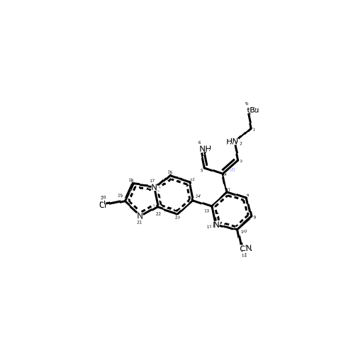 CC(C)(C)CN/C=C(\C=N)c1ccc(C#N)nc1-c1ccn2cc(Cl)nc2c1